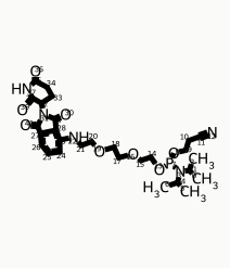 CC(C)N(C(C)C)P(OCCC#N)OCCOCCOCCNc1cccc2c1C(=O)N(C1CCC(=O)NC1=O)C2=O